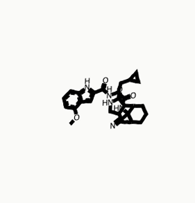 COc1cccc2[nH]c(C(=O)NC(CC3CC3)C(=O)NC3(C#N)C4CCCC3C3C(=O)NCC3C4)cc12